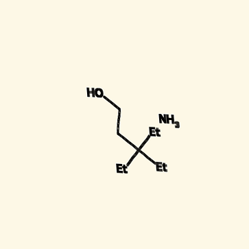 CCC(CC)(CC)CCO.N